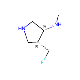 CN[C@H]1CNC[C@H]1CF